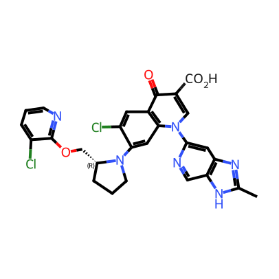 Cc1nc2cc(-n3cc(C(=O)O)c(=O)c4cc(Cl)c(N5CCC[C@@H]5COc5ncccc5Cl)cc43)ncc2[nH]1